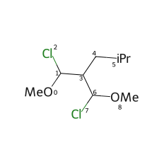 COC(Cl)C(CC(C)C)C(Cl)OC